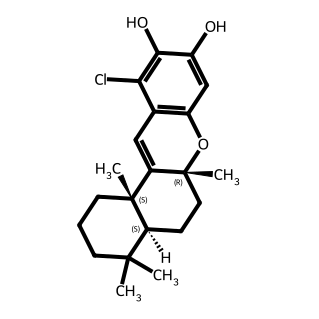 CC1(C)CCC[C@]2(C)C3=Cc4c(cc(O)c(O)c4Cl)O[C@]3(C)CC[C@@H]12